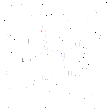 CC(=O)N(C)C.[H-].[Na+]